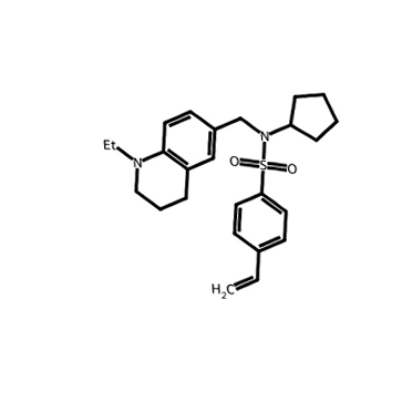 C=Cc1ccc(S(=O)(=O)N(Cc2ccc3c(c2)CCCN3CC)C2CCCC2)cc1